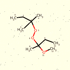 CCC(C)(C)OOC(C)(CC)OC